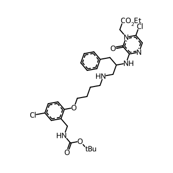 CCOC(=O)Cn1c(Cl)cnc(NC(CNCCCCOc2ccc(Cl)cc2CNC(=O)OC(C)(C)C)Cc2ccccc2)c1=O